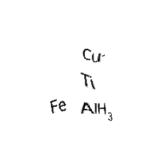 [AlH3].[Cu].[Fe].[Ti]